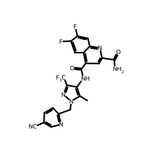 Cc1c(NC(=O)c2cc(C(N)=O)nc3cc(F)c(F)cc23)c(C(F)(F)F)nn1Cc1ccc(C#N)cn1